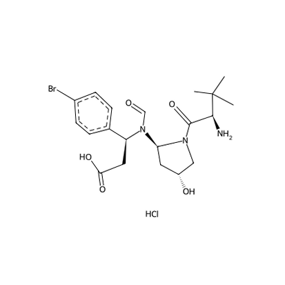 CC(C)(C)[C@@H](N)C(=O)N1C[C@H](O)C[C@H]1N(C=O)[C@@H](CC(=O)O)c1ccc(Br)cc1.Cl